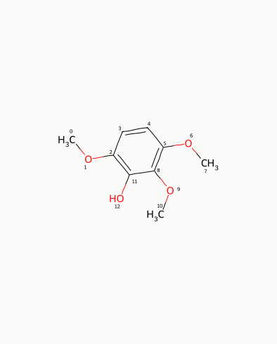 COc1ccc(OC)c(OC)c1O